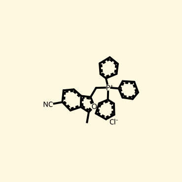 Cc1oc(C[P+](c2ccccc2)(c2ccccc2)c2ccccc2)c2ccc(C#N)cc12.[Cl-]